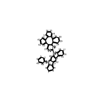 c1ccc(-n2c3ccccc3c3cc4c5ccccc5n(-c5ncc6c(n5)-c5ccccc5-c5ccccc5-c5ccccc5-6)c4cc32)cc1